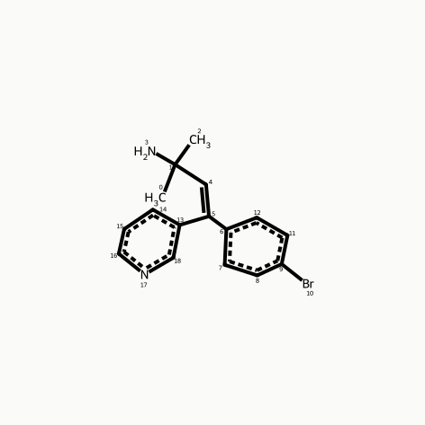 CC(C)(N)/C=C(/c1ccc(Br)cc1)c1cccnc1